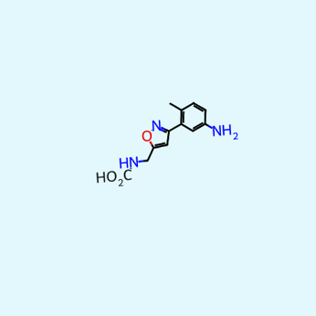 Cc1ccc(N)cc1-c1cc(CNC(=O)O)on1